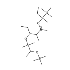 CCC(O[Si](C)(C)C(C)O[Si](C)(C)C)C(C)[SiH](C)OC(C)(CC)[Si](C)(C)C